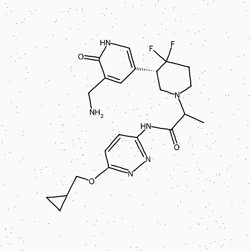 CC(C(=O)Nc1ccc(OCC2CC2)nn1)N1CCC(F)(F)[C@@H](c2c[nH]c(=O)c(CN)c2)C1